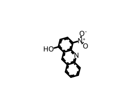 O=[N+]([O-])c1ccc(O)c2cc3ccccc3nc12